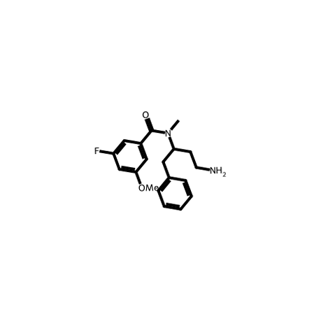 COc1cc(F)cc(C(=O)N(C)C(CCN)Cc2ccccc2)c1